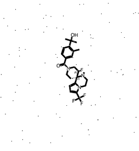 Cc1cc(C(=O)N2CC[C@]3(c4ccc(C(F)(F)F)n4CCN3C)[C@H](F)C2)ccc1C(C)(C)O